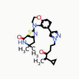 C=C(C(=O)CCCn1cc(-c2ccc3c(c2)N(c2nc4c(s2)C(=O)NC(C)(C)C4)CCO3)cn1)C1CC1